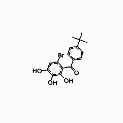 CC(C)(C)c1ccc(C(=O)c2c(Br)cc(O)c(O)c2O)cc1